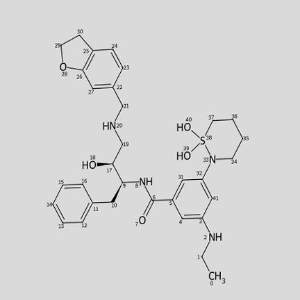 CCNc1cc(C(=O)N[C@@H](Cc2ccccc2)[C@@H](O)CNCc2ccc3c(c2)OCC3)cc(N2CCCCS2(O)O)c1